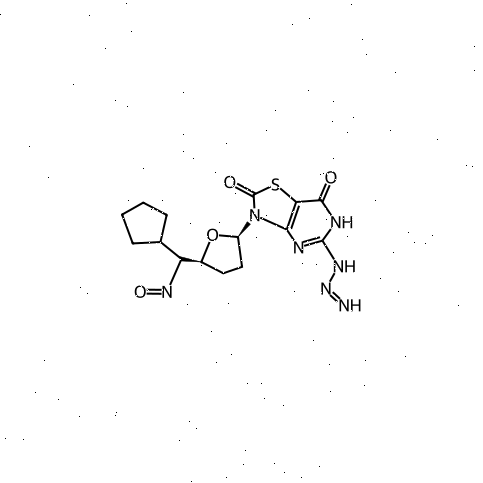 N=NNc1nc2c(sc(=O)n2[C@H]2CC[C@@H](C(N=O)C3CCCC3)O2)c(=O)[nH]1